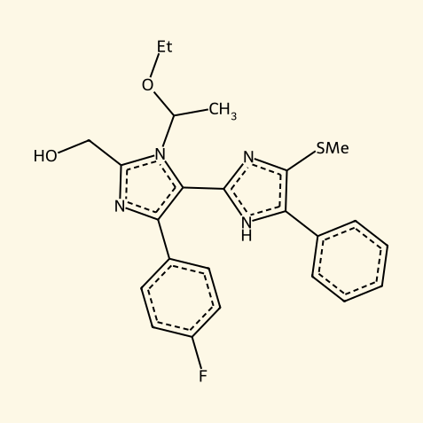 CCOC(C)n1c(CO)nc(-c2ccc(F)cc2)c1-c1nc(SC)c(-c2ccccc2)[nH]1